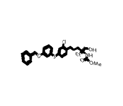 CCC(CO)(CCCc1ccc(Sc2cccc(OCc3ccccc3)c2)cc1Cl)NC(=O)OC